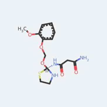 COc1ccccc1OCO[C@@]1(NC(=O)CC(N)=O)NCCS1